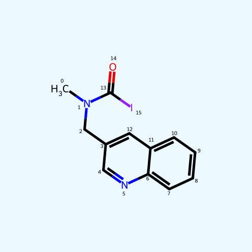 CN(Cc1cnc2ccccc2c1)C(=O)I